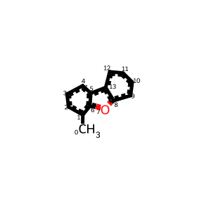 Cc1cc[c]c2c1oc1ccccc12